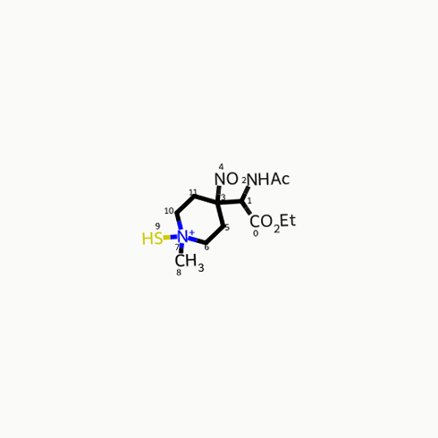 CCOC(=O)C(NC(C)=O)C1(N=O)CC[N+](C)(S)CC1